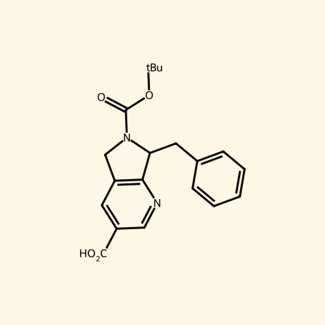 CC(C)(C)OC(=O)N1Cc2cc(C(=O)O)cnc2C1Cc1ccccc1